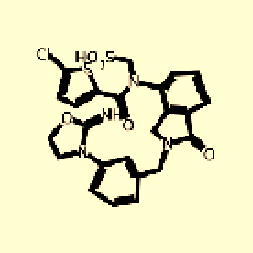 N=C1OCCN1c1cccc(CN2Cc3c(cccc3N(CS(=O)(=O)O)C(=O)c3ccc(Cl)s3)C2=O)c1